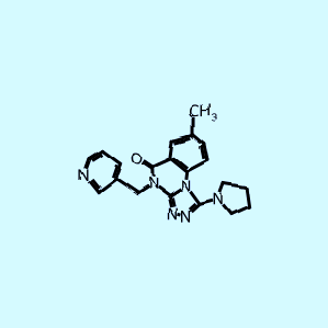 Cc1ccc2c(c1)c(=O)n(Cc1cccnc1)c1nnc(N3CCCC3)n21